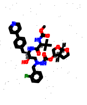 COC(=O)N[C@H](C(=O)N[C@@H](Cc1ccc(-c2ccncc2)cc1)[C@@H](O)CN(Cc1ccccc1F)NC(=O)O[C@H]1CO[C@H]2OCC[C@H]21)C(C)(C)C